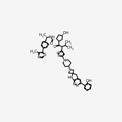 Cc1ncsc1-c1ccc([C@H](C)NC(=O)[C@@H]2C[C@@H](O)CC2C(=O)C(c2cc(N3CCC(N4CC5(Cc6cc(-c7ccccc7O)nnc6N5)C4)CC3)no2)C(C)C)cc1